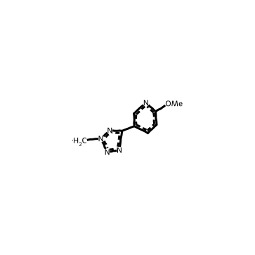 [CH2]n1nnc(-c2ccc(OC)nc2)n1